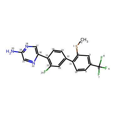 CSc1cc(C(F)(F)F)ccc1-c1ccc(-c2cnc(N)cn2)c(F)c1